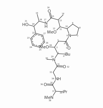 CCC(C)C(C(CC(=O)N1CCCC1C(OC)C(C)C(=O)NC(C)C(O)c1ccccc1)OC)N(C)C(=O)CNC(=O)C(NC)C(C)C